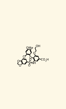 COc1ccc(Cl)c(Oc2c(NS(=O)(=O)c3ccc4c(c3)OCO4)cc(C(=O)O)cc2OCCO)c1